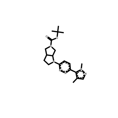 Cc1cnn(C)c1-c1ccc(N2CCC3CN(C(=O)OC(C)(C)C)CC32)nn1